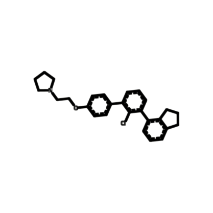 Clc1c(-c2ccc(OCCN3CCCC3)cc2)cccc1-c1cccc2c1CCC2